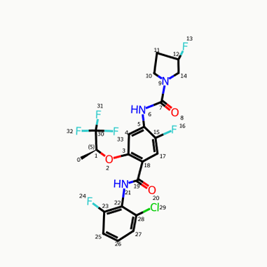 C[C@H](Oc1cc(NC(=O)N2CCC(F)C2)c(F)cc1C(=O)Nc1c(F)cccc1Cl)C(F)(F)F